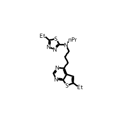 CCCN(CCCc1ncnc2sc(CC)cc12)c1nnc(CC)s1